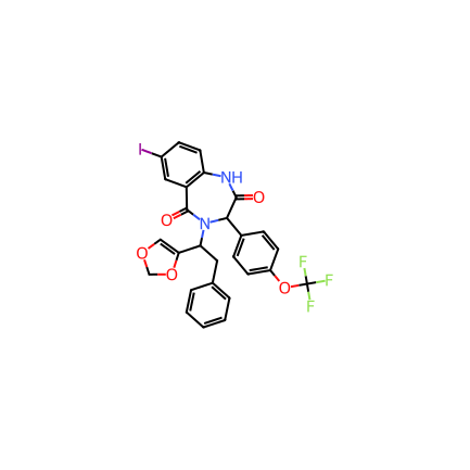 O=C1Nc2ccc(I)cc2C(=O)N(C(Cc2ccccc2)C2=COCO2)C1c1ccc(OC(F)(F)F)cc1